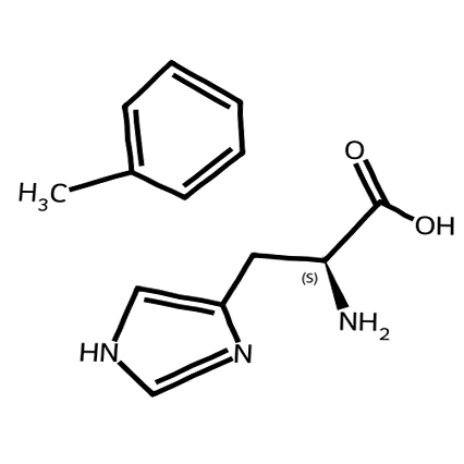 Cc1ccccc1.N[C@@H](Cc1c[nH]cn1)C(=O)O